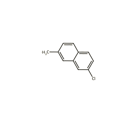 [CH2]c1ccc2ccc(Cl)cc2c1